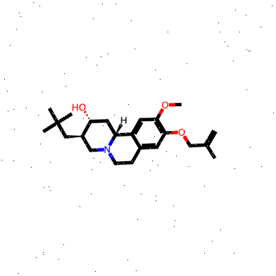 C=C(C)COc1cc2c(cc1OC)[C@H]1C[C@@H](O)[C@H](CC(C)(C)C)CN1CC2